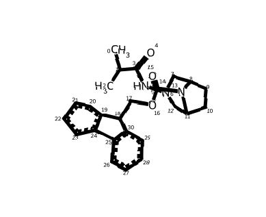 CC(C)C(=O)NN1CC2CCC(C1)N2C(=O)OCC1c2ccccc2-c2ccccc21